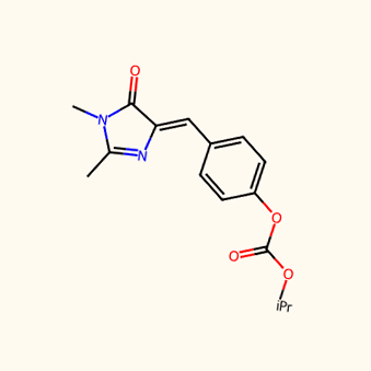 CC1=N/C(=C\c2ccc(OC(=O)OC(C)C)cc2)C(=O)N1C